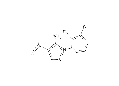 CC(=O)c1cnn(-c2cccc(Cl)c2Cl)c1N